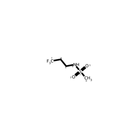 CS(=O)(=O)NCCC(F)(F)F